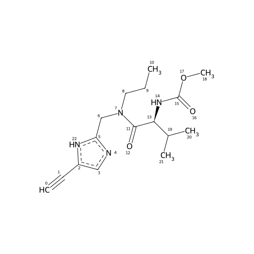 C#Cc1cnc(CN(CCC)C(=O)[C@@H](NC(=O)OC)C(C)C)[nH]1